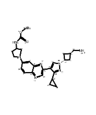 CC(C)(C)OC(=O)NC1CCN(c2ccc3ncc(-c4cn([C@H]5C[C@H](CN)C5)nc4C4CC4)nc3c2)C1